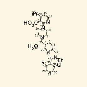 CCN(Cc1ccc(CN2CCN(c3nccc(C(C)C)c3C(=O)O)CC2)cc1)Cc1c(F)cccc1Cl.O